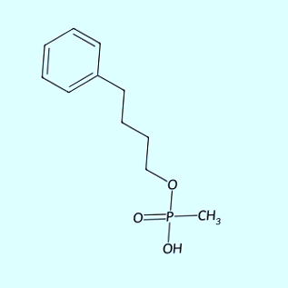 CP(=O)(O)OCCCCc1ccccc1